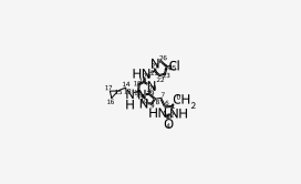 C=c1[nH]c(=O)[nH]/c1=C\c1cnn2c(NCC3CC3)cc(Nc3ccc(Cl)cn3)nc12